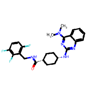 CN(C)c1nc(N[C@H]2CC[C@@H](C(=O)NCc3c(F)ccc(F)c3F)CC2)nc2ccccc12